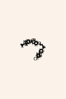 O=C(Cc1ccc(OCCC2C[C@@H]2C2CCN(c3ncc(Cl)cn3)CC2)cc1F)N1CCn2nc(C3CC3)nc2C1